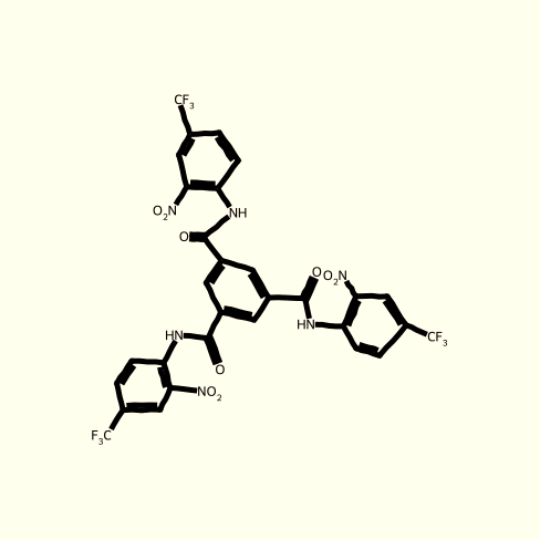 O=C(Nc1ccc(C(F)(F)F)cc1[N+](=O)[O-])c1cc(C(=O)Nc2ccc(C(F)(F)F)cc2[N+](=O)[O-])cc(C(=O)Nc2ccc(C(F)(F)F)cc2[N+](=O)[O-])c1